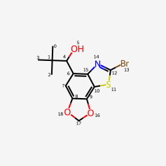 CC(C)(C)C(O)c1cc2c(c3sc(Br)nc13)OCO2